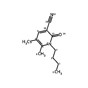 CCCCn1c(C)c(C)cc(C#N)c1=O